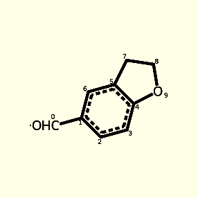 O=[C]c1ccc2c(c1)CCO2